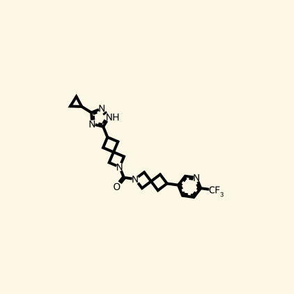 O=C(N1CC2(CC(c3ccc(C(F)(F)F)nc3)C2)C1)N1CC2(CC(c3nc(C4CC4)n[nH]3)C2)C1